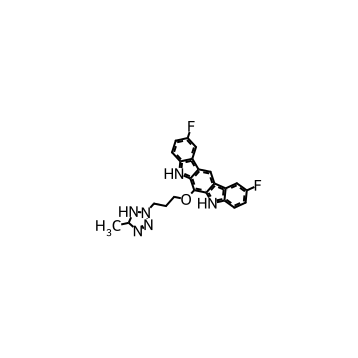 CC1N=NN(CCCOc2c3[nH]c4ccc(F)cc4c3cc3c2[nH]c2ccc(F)cc23)N1